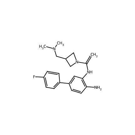 C=C(Nc1cc(-c2ccc(F)cc2)ccc1N)N1CC(CN(C)C)C1